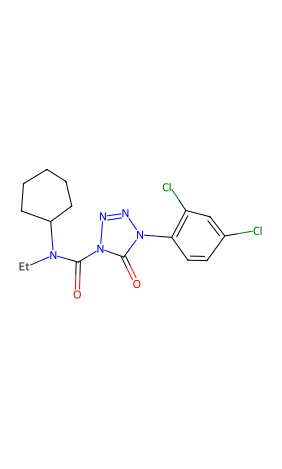 CCN(C(=O)n1nnn(-c2ccc(Cl)cc2Cl)c1=O)C1CCCCC1